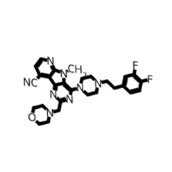 Cn1c2nccc(C#N)c2c2nc(CN3CCOCC3)nc(N3CCN(CCc4ccc(F)c(F)c4)CC3)c21